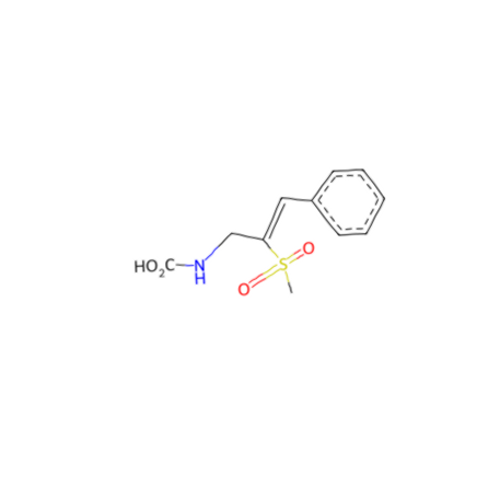 CS(=O)(=O)/C(=C\c1ccccc1)CNC(=O)O